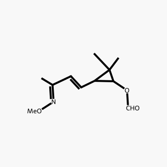 CON=C(C)C=CC1C(OC=O)C1(C)C